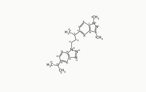 Cc1nn(C)c2ccc(C(C)CCn3nnc4cc(C(C)C)ccc43)cc12